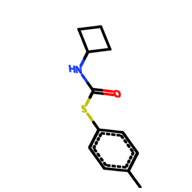 Cc1ccc(SC(=O)NC2CCC2)cc1